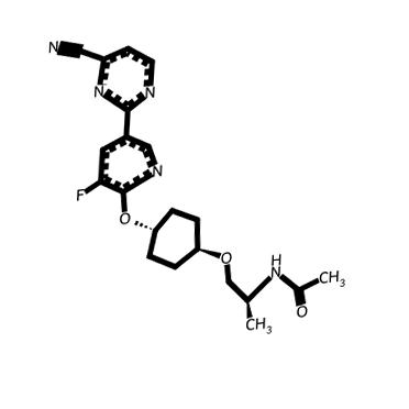 CC(=O)N[C@@H](C)CO[C@H]1CC[C@H](Oc2ncc(-c3nccc(C#N)n3)cc2F)CC1